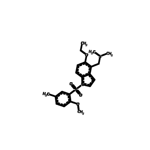 CCOc1ccc2c(ccn2S(=O)(=O)c2cc(C)ccc2OC)c1CN(C)C